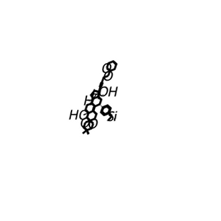 CC1(C)COC2(CCC3=C4[C@@H](CC[C@@]3(O)C2)[C@@H]2CC[C@@](O)(C#CCOC3CCCCO3)[C@@]2(C)C[C@@H]4c2ccc([Si](C)(C)C)cc2)OC1